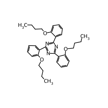 CCCCOc1ccccc1-c1nc(-c2ccccc2OCCCC)nc(-c2ccccc2OCCCC)n1